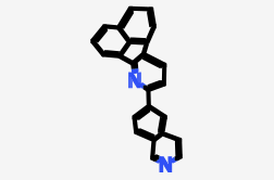 c1cc2c3c(cccc3c1)-c1nc(-c3ccc4cnccc4c3)ccc1-2